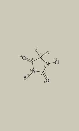 CC1(C)C(=O)N(Br)C(=O)N1Cl